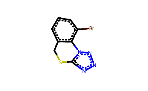 Brc1cccc2c1-n1nnnc1SC2